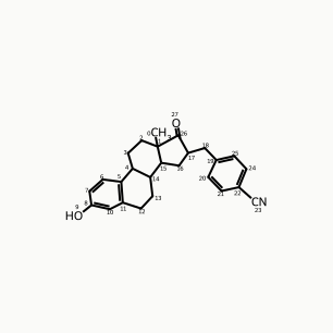 CC12CCC3c4ccc(O)cc4CCC3C1CC(Cc1ccc(C#N)cc1)C2=O